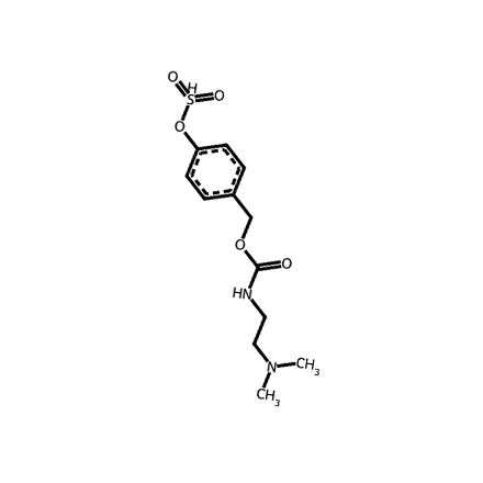 CN(C)CCNC(=O)OCc1ccc(O[SH](=O)=O)cc1